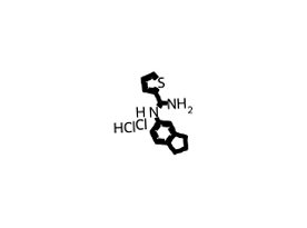 Cl.Cl.NC(=Nc1ccc2c(c1)CCC2)c1cccs1